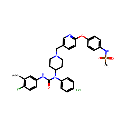 CC(=O)Nc1cc(NC(=O)N(c2ccccc2)C2CCN(Cc3ccc(Oc4ccc(NS(C)(=O)=O)cc4)nc3)CC2)ccc1F.Cl